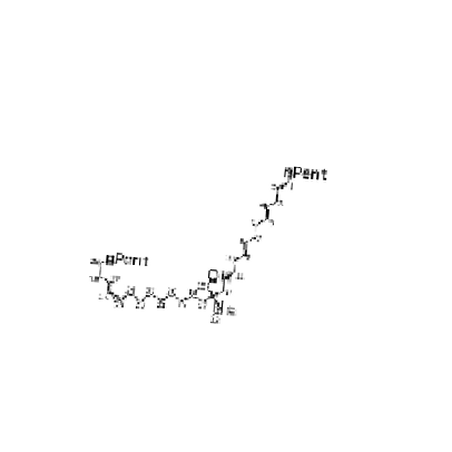 CCCCCC=CCC=CCCCCCCCCC(CO)(CCCCCCCC/C=C\C/C=C\CCCCC)N(C)C